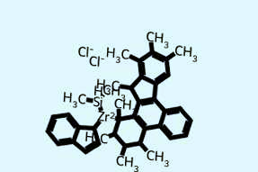 Cc1cc2c(c(C)c1C)C(C)c1c3c(c4ccccc4c1-2)C(C)C(C)C(C)[C]3(C)[Zr+2]([CH]1C=Cc2ccccc21)[SiH](C)C.[Cl-].[Cl-]